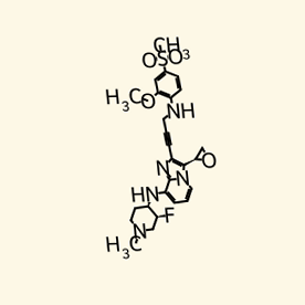 COc1cc(S(C)(=O)=O)ccc1NCC#Cc1nc2c(N[C@@H]3CCN(C)C[C@@H]3F)cccn2c1[C@H]1CO1